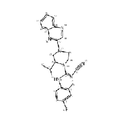 Cc1cc(F)ccc1N/C(=N/C#N)N1CCN(c2cnc3ccccc3n2)CC1C(C)C